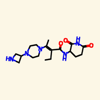 CC/C(C(=O)NC1CCC(=O)NC1=O)=C(/C)N1CCN(C2CNC2)CC1